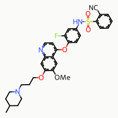 COc1cc2c(Oc3ccc(NS(=O)(=O)c4ccccc4C#N)cc3F)ccnc2cc1OCCCN1CCC(C)CC1